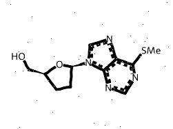 CSc1ncnc2c1ncn2[C@H]1CC[C@@H](CO)O1